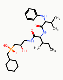 CCC(C)[C@H](NC(=O)[C@@H](Nc1ccccc1)C(C)C)C(=O)NC[C@@H](O)CP(=O)(O)CC1CCCCC1